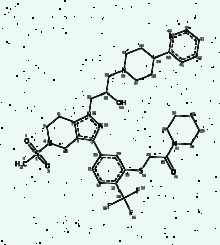 CS(=O)(=O)N1CCc2c(c(-c3ccc(C(F)(F)F)c(SCC(=O)N4CCCCC4)c3)nn2CC(O)CN2CCC(c3ccccn3)CC2)C1